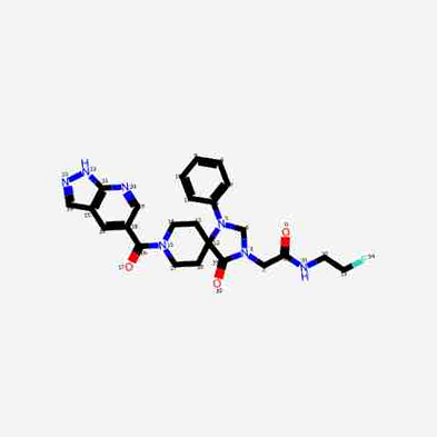 O=C(CN1CN(c2ccccc2)C2(CCN(C(=O)c3cnc4[nH]ncc4c3)CC2)C1=O)NCCF